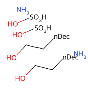 CCCCCCCCCCCCO.CCCCCCCCCCCCO.N.N.O=S(=O)(O)O.O=S(=O)(O)O